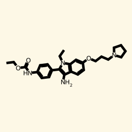 CCOC(=O)Nc1ccc(-c2c(N)c3ccc(OCCCN4CCCC4)cc3n2CC)cc1